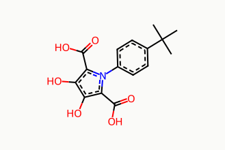 CC(C)(C)c1ccc(-n2c(C(=O)O)c(O)c(O)c2C(=O)O)cc1